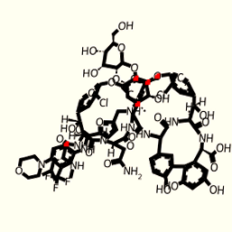 CN[C@H](CC(C)C)C(=O)N[C@H]1C(=O)N[C@@H](CC(N)=O)C(=O)NC2C(=O)NC3C(=O)N[C@H](C(=O)N[C@@H](C(=O)O)c4cc(O)cc(O)c4-c4cc3ccc4O)[C@H](O)c3ccc(c(Cl)c3)Oc3cc2cc(c3OC2O[C@H](CO)[C@@H](O)[C@@H](O)[C@H]2O[C@H]2C[C@](C)(NCc3ccc(C(=O)Nc4ccc(N5CCOCC5)c(C(F)(F)F)c4)o3)[C@H](O)[C@H](C)O2)Oc2ccc(cc2Cl)[C@H]1O